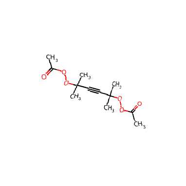 CC(=O)OOC(C)(C)C#CC(C)(C)OOC(C)=O